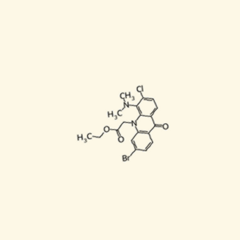 CCOC(=O)Cn1c2cc(Br)ccc2c(=O)c2ccc(Cl)c(N(C)C)c21